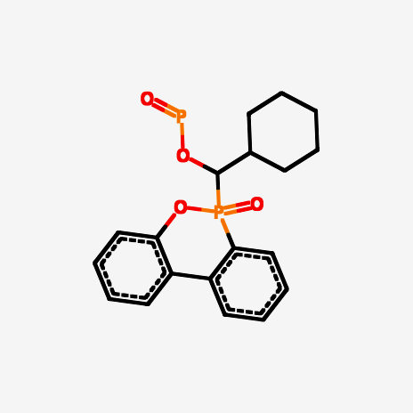 O=POC(C1CCCCC1)P1(=O)Oc2ccccc2-c2ccccc21